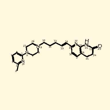 Cc1cccc(N2CCN(CCC/C=C/c3ccc4c(n3)NC(=O)CC4)CC2)n1